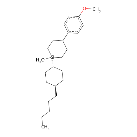 CCCCC[C@H]1CC[C@H]([Si]2(C)CCC(c3ccc(OC)cc3)CC2)CC1